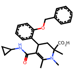 CC1=C(C(=O)NC2CC2)C(c2ccccc2OCc2ccccc2)CC(C)(C(=O)O)N1C